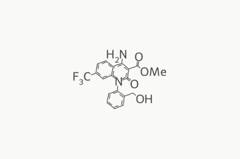 COC(=O)c1c(N)c2ccc(C(F)(F)F)cc2n(-c2ccccc2CO)c1=O